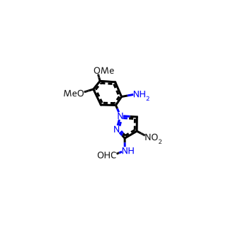 COc1cc(N)c(-n2cc([N+](=O)[O-])c(NC=O)n2)cc1OC